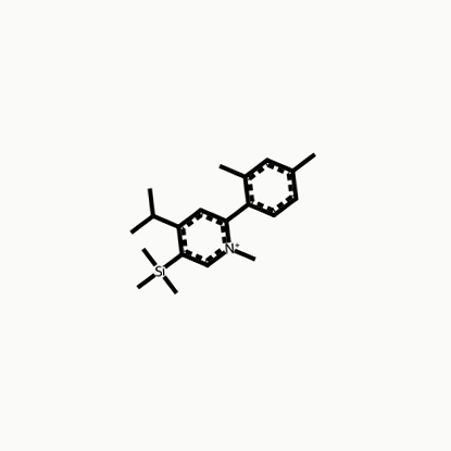 Cc1ccc(-c2cc(C(C)C)c([Si](C)(C)C)c[n+]2C)c(C)c1